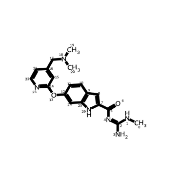 CNC(N)=NC(=O)c1cc2ccc(Oc3cc(CN(C)C)ccn3)cc2[nH]1